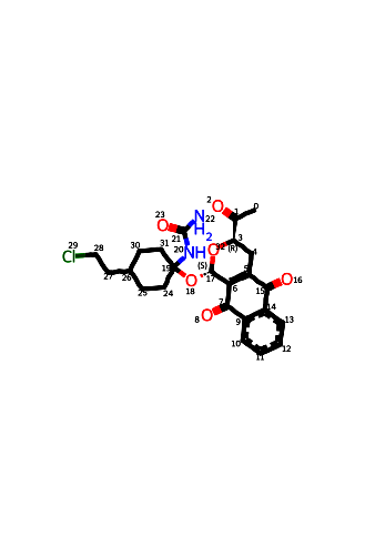 CC(=O)[C@H]1CC2=C(C(=O)c3ccccc3C2=O)[C@H](OC2(NC(N)=O)CCC(CCCl)CC2)O1